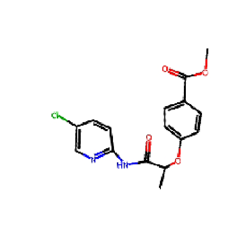 COC(=O)c1ccc(OC(C)C(=O)Nc2ccc(Cl)cn2)cc1